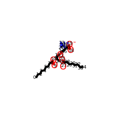 CCCCCCCCC(=O)OC(COCCC(C(=O)[O-])[N+](C)(C)C)COC(=O)CCCCCCC